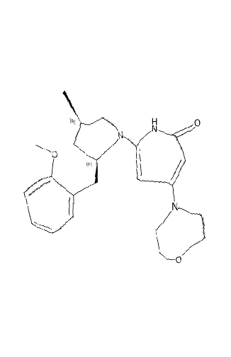 COc1ccccc1C[C@H]1C[C@@H](C)CN1c1cc(N2CCOCC2)cc(=O)[nH]1